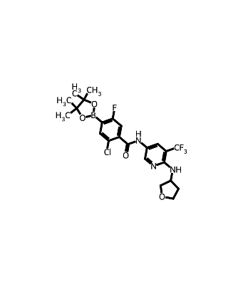 CC1(C)OB(c2cc(Cl)c(C(=O)Nc3cnc(NC4CCOC4)c(C(F)(F)F)c3)cc2F)OC1(C)C